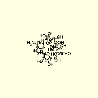 Nc1ncnc2c1ncn2[C@@H]1O[C@H](CO)[C@@H](O)[C@H]1O.O=C[C@@H](O)[C@@H](O)[C@H](O)[C@](O)(CO)P(=O)(O)OP(=O)(O)O